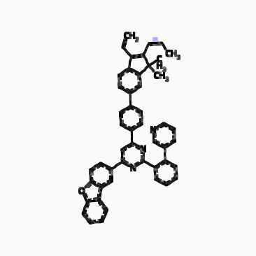 C=CC1=C(/C=C\C)C(C)(C)c2cc(-c3ccc(-c4cc(-c5ccc6oc7ccccc7c6c5)nc(-c5ccccc5-c5cccnc5)n4)cc3)ccc21